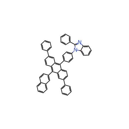 c1ccc(-c2ccc3c(-c4ccc5ccccc5c4)c4cc(-c5ccccc5)ccc4c(-c4ccc(-n5c(-c6ccccc6)nc6ccccc65)cc4)c3c2)cc1